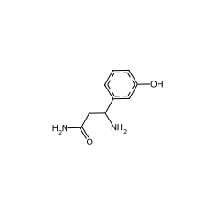 NC(=O)CC(N)c1cccc(O)c1